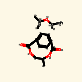 CC1COC(=O)c2ccc(cc2)C(=O)O1.CCC[SiH2]O[SiH](C)C